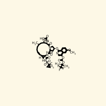 COc1ccc2c(O[C@@H]3C[C@H]4C(=O)N[C@]5(C(=O)NS(=O)(=O)C6(C)CC6)C[C@H]5/C=C\CC[C@@H](C)C[C@@H](C)[C@H](NC(=O)O)C(=O)N4C3)ncc(OC(=O)OC(C)(C)C(F)(F)F)c2c1